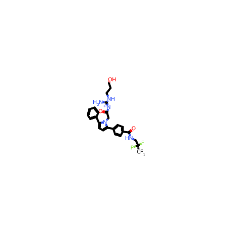 N/C(=N\C(=O)Cn1c(-c2ccccc2)ccc1-c1ccc(C(=O)NCC(F)(F)C(F)(F)F)cc1)NCCCO